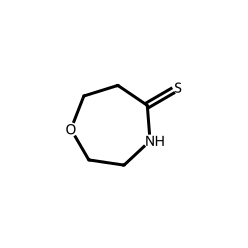 S=C1CCOCCN1